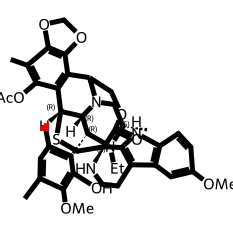 CCN1[C@H](c2c(C)cc(C)c(OC)c2O)[C@@H]2[C@@H]3SC[C@]4(NCCc5c4[nH]c4ccc(OC)cc54)C(=O)OCC(c4c5c(c(C)c(OC(C)=O)c43)OCO5)N2C[C@@H]1C